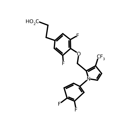 O=C(O)CCc1cc(F)c(OCc2c(C(F)(F)F)ccn2-c2ccc(F)c(F)c2)c(F)c1